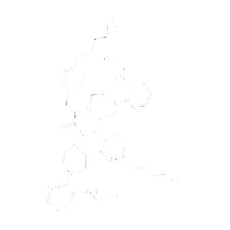 CCCCOc1ccc(CC(C(=O)C(Cc2ccc(OCCCC)cc2)N2CCN(c3ncccc3NCC)CC2)N2CCN(c3ncccc3NCC)CC2)cc1